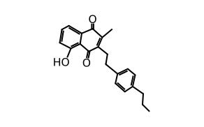 CCCc1ccc(CCC2=C(C)C(=O)c3cccc(O)c3C2=O)cc1